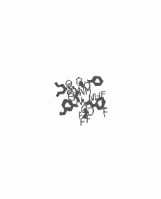 CCCC(CCC)S(=O)(=O)C[C@@H](NC(=O)OCc1ccccc1)C(=O)N(Cc1cccc(CC)c1)C[C@@H](OC(=O)C(F)(F)F)[C@@H](N)Cc1cc(F)cc(F)c1